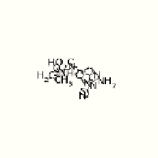 C=C(C)C(=O)NCCN(Cc1ccc(Cn2c(-c3ccns3)nc3c(N)nc4ccccc4c32)cc1)C(=O)O